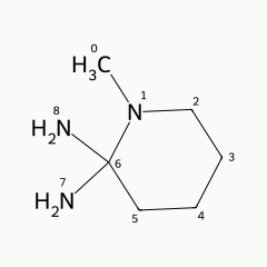 CN1CCCCC1(N)N